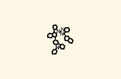 c1ccc(-n2c3ccccc3c3cc(-c4cc5c(c6ccccc46)c4ccccc4n5-c4nc(-c5ccc6ccccc6c5)c5ccccc5n4)ccc32)cc1